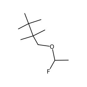 CC(F)OCC(C)(C)C(C)(C)C